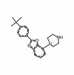 CC(C)(C)c1ccc(-c2nc3cccc(N4CCNCC4)c3o2)cc1